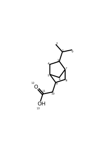 CC(C)C1CC2CC1CC2CC(=O)O